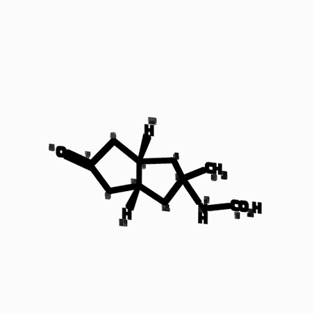 CC1(NC(=O)O)C[C@H]2CC(=O)C[C@H]2C1